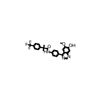 COc1cc2c(-c3ccc(NC(=O)C(C)(C)c4ccc(C(F)(F)F)cc4)cc3)ncnc2cc1O